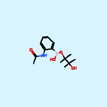 CC(=O)Nc1ccccc1B(O)OC(C)(C)C(C)(C)O